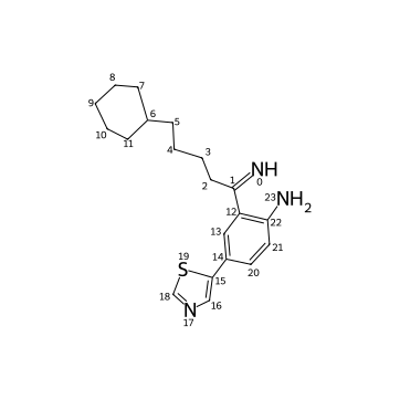 N=C(CCCCC1CCCCC1)c1cc(-c2cncs2)ccc1N